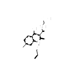 C=CCOn1c(=O)c(C(=O)NCC(=O)O)c(O)c2ccc(C)cc21